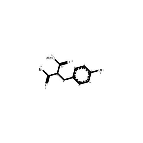 CCC(=O)C(Cc1ccc(O)cc1)C(=O)OC